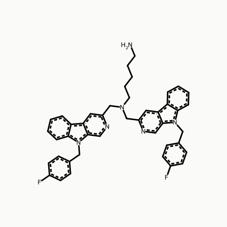 NCCCCCN(Cc1cc2c3ccccc3n(Cc3ccc(F)cc3)c2cn1)Cc1cc2c3ccccc3n(Cc3ccc(F)cc3)c2cn1